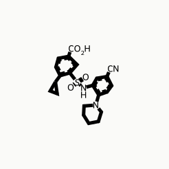 N#Cc1ccc(N2CCCCC2)c(NS(=O)(=O)c2cc(C(=O)O)ccc2C2CC2)c1